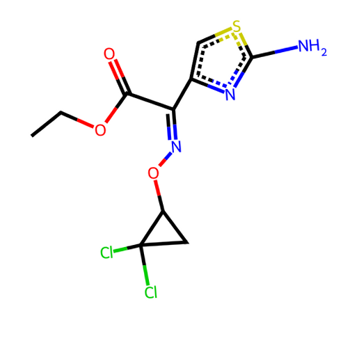 CCOC(=O)C(=NOC1CC1(Cl)Cl)c1csc(N)n1